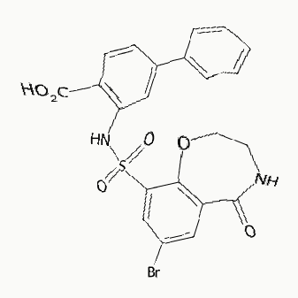 O=C(O)c1ccc(-c2ccccc2)cc1NS(=O)(=O)c1cc(Br)cc2c1OCCNC2=O